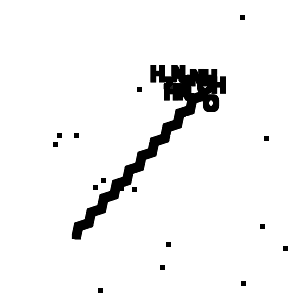 CCCCCCCCCCCCCCCCCCCC(NC(=N)N)C(=O)O